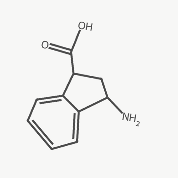 NC1CC(C(=O)O)c2ccccc21